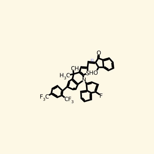 CC1(C)c2cc(-c3ccc(C(F)(F)F)cc3C(F)(F)F)ccc2N(c2ccc(F)c3ccccc23)c2sc(/C=C3/C(=O)c4ccccc4C3O)cc21